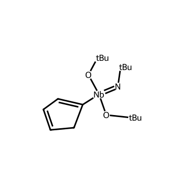 CC(C)(C)[N]=[Nb]([O]C(C)(C)C)([O]C(C)(C)C)[C]1=CC=CC1